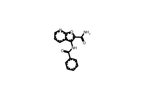 NC(=O)c1oc2ncccc2c1NC(=O)c1ccccc1